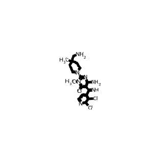 Cn1c(N2CCC(C)(CN)CC2)nc(N)c(C(=N)c2ccnc(Cl)c2Cl)c1=O